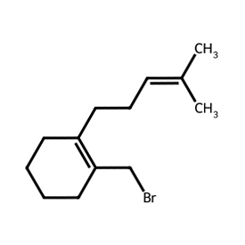 CC(C)=CCCC1=C(CBr)CCCC1